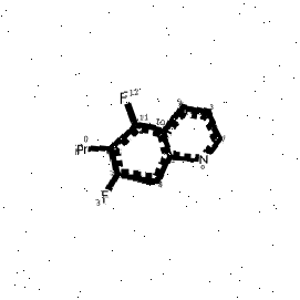 CC(C)c1c(F)cc2ncccc2c1F